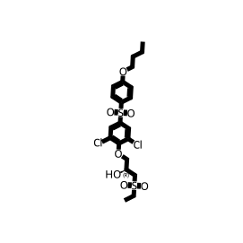 CCCCOc1ccc(S(=O)(=O)c2cc(Cl)c(OC[C@@H](O)CS(=O)(=O)CC)c(Cl)c2)cc1